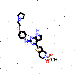 CS(=O)(=O)N1CCc2sc(-c3nc(Nc4ccc(OCCN5CCCC5)cc4)nc4[nH]ccc34)cc2C1